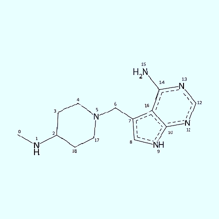 CNC1CCN(Cc2c[nH]c3ncnc(N)c23)CC1